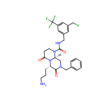 NCCC[C@H]1C(=O)N(Cc2ccccc2)C[C@@H]2N(C(=O)NCc3cc(CF)cc(C(F)(F)F)c3)CCC(=O)N21